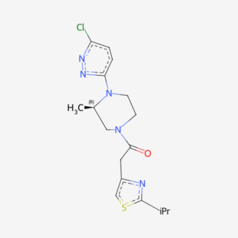 CC(C)c1nc(CC(=O)N2CCN(c3ccc(Cl)nn3)[C@H](C)C2)cs1